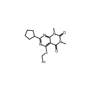 CC(=O)CSc1nc(C2CCCC2)nc2c1c(=O)n(C)c(=O)n2C